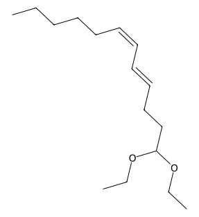 CCCCC/C=C\C=C\CCC(OCC)OCC